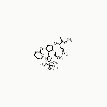 C=CC[C@@H](O[C@H]1C[C@@H](OC2CCCCO2)[C@H](CO[Si](C)(C)C(C)(C)C)[C@H]1C=CC)C(=O)OC